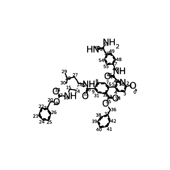 COc1ccc(-c2ccc(C(=O)N[C@H](CCNC(=O)OCc3ccccc3)CC(C)C)cc2C(=O)OCc2ccccc2)c(C(=O)Nc2ccc(C(=N)N)cc2)n1